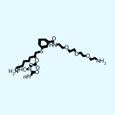 CCCC(=O)N(C=O)OC(=O)OC(CCCCCN)CSc1cccc(C(=O)NCCOCCOCCOCCN)c1